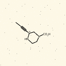 CC#C[C@H]1CN(C(=O)O)CCN1